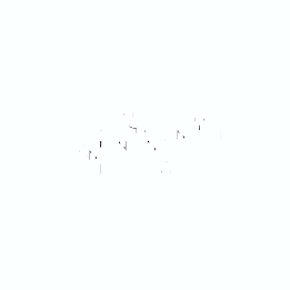 CN(C)C(=O)CN(CCN(CCNCC(=O)O)CC(=O)O)CC(=O)O